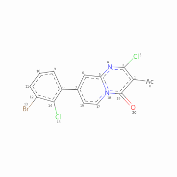 CC(=O)c1c(Cl)nc2cc(-c3cccc(Br)c3Cl)ccn2c1=O